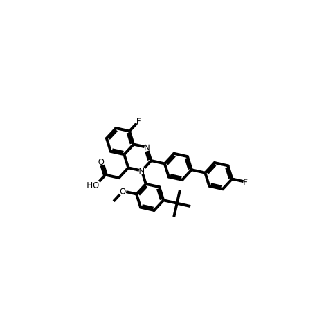 COc1ccc(C(C)(C)C)cc1N1C(c2ccc(-c3ccc(F)cc3)cc2)=Nc2c(F)cccc2C1CC(=O)O